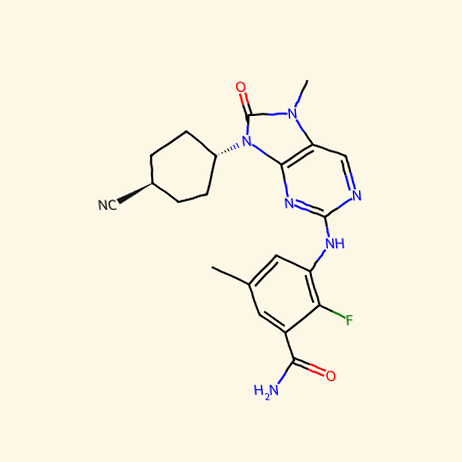 Cc1cc(Nc2ncc3c(n2)n([C@H]2CC[C@H](C#N)CC2)c(=O)n3C)c(F)c(C(N)=O)c1